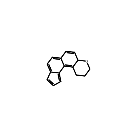 C1=Cc2ccc3c(c2=C1)=C1CCCOC1C=C3